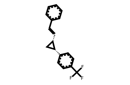 FC(F)(F)c1ccc([C@@H]2C[C@@H]2/C=C/c2ccccc2)cc1